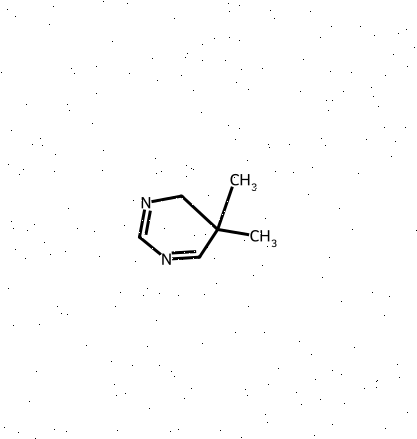 CC1(C)C=NC=NC1